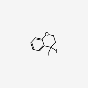 IC1(I)CCOc2ccccc21